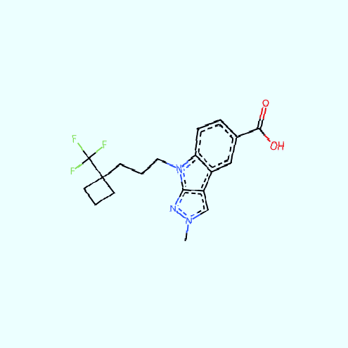 Cn1cc2c3cc(C(=O)O)ccc3n(CCCC3(C(F)(F)F)CCC3)c2n1